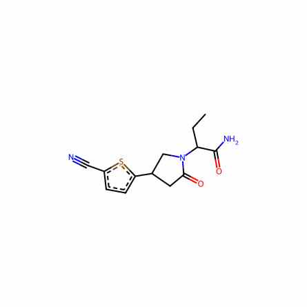 CCC(C(N)=O)N1CC(c2ccc(C#N)s2)CC1=O